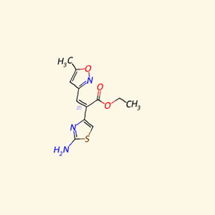 CCOC(=O)/C(=C\c1cc(C)on1)c1csc(N)n1